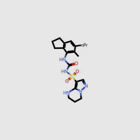 CCCc1cc2c(c(NC(=O)NS(=O)(=O)c3cnn4c3NCCC4)c1C)CCC2